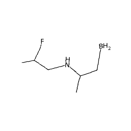 BCC(C)NCC(C)F